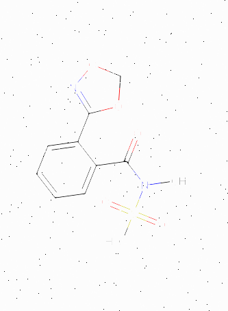 CN(C(=O)c1ccccc1C1=NOCO1)S(C)(=O)=O